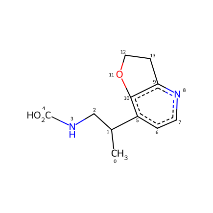 CC(CNC(=O)O)c1ccnc2c1OCC2